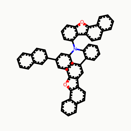 c1cc(-c2ccc3ccccc3c2)cc(N(c2ccccc2-c2ccc3oc4c5ccccc5ccc4c3c2)c2cccc3oc4c5ccccc5ccc4c23)c1